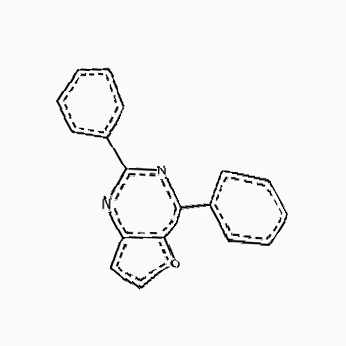 c1ccc(-c2nc(-c3ccccc3)c3occc3n2)cc1